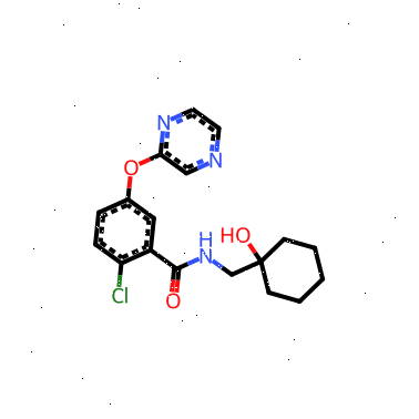 O=C(NCC1(O)CCCCC1)c1cc(Oc2cnccn2)ccc1Cl